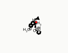 COc1ccc2c(c1)[C@@]1(CCNC(=O)[C@@H]3CCCCN3)CCN(CC3CC3)[C@H](C2)[C@@H]1C